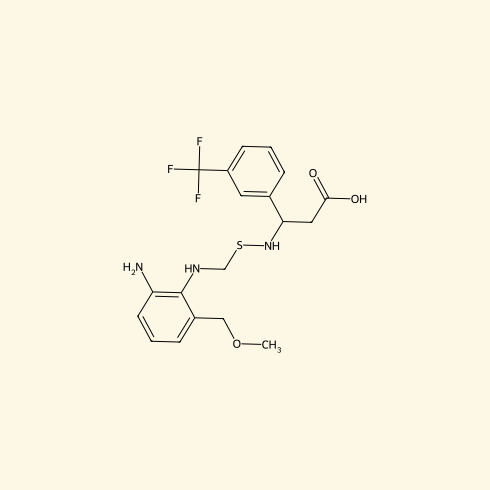 COCc1cccc(N)c1NCSNC(CC(=O)O)c1cccc(C(F)(F)F)c1